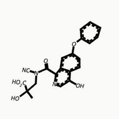 CC(O)(CN(C#N)C(=O)c1ncc(O)c2ccc(Oc3ccccc3)cc12)C(=O)O